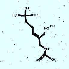 CC(=N)NC/C(F)=C/CC[C@](C)(N)C(=O)O.Cl.Cl